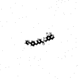 Nc1nccc2cc(CNC(=O)c3cncc(Cc4ccc(-n5cccn5)cc4)c3)ccc12